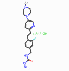 CC(=O)N1CCN(c2ccc(CCc3ccc(CNC(=O)NN)cc3F)nc2)CC1.Cl.Cl.Cl